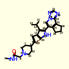 CNC(=O)CN1CCC(c2cc3c(C(C)C)c(-c4cn5ncnc5c5c4CCC5)[nH]c3s2)CC1